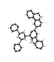 c1ccc(-c2nc(-c3ccccc3)nc(-c3cc(-c4ccc5ncc6ccccc6c5c4)cc4c3oc3ccccc34)n2)cc1